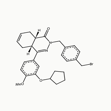 COc1ccc(C2=NN(Cc3ccc(CBr)cc3)C(=O)[C@H]3CC=CC[C@@H]23)cc1OC1CCCC1